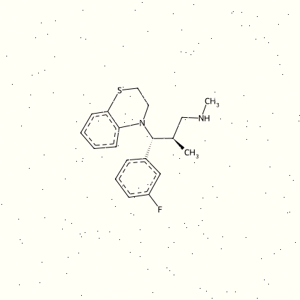 CNC[C@@H](C)[C@H](c1cccc(F)c1)N1CCSc2ccccc21